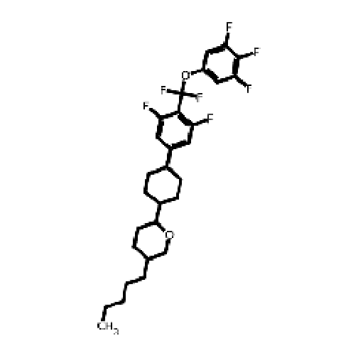 CCCCCC1CCC(C2CCC(c3cc(F)c(C(F)(F)Oc4cc(F)c(F)c(F)c4)c(F)c3)CC2)OC1